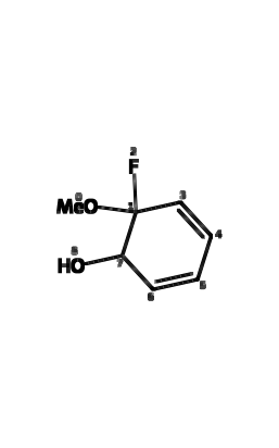 COC1(F)C=CC=CC1O